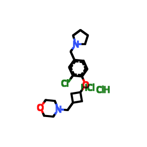 Cl.Cl.Clc1cc(CN2CCCC2)ccc1OC1CC(CN2CCOCC2)C1